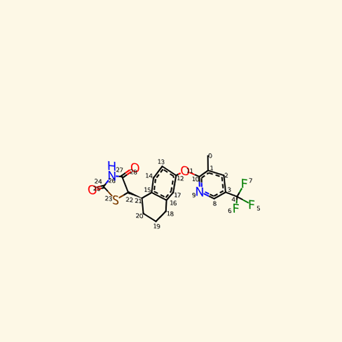 Cc1cc(C(F)(F)F)cnc1Oc1ccc2c(c1)CCC[C@H]2C1SC(=O)NC1=O